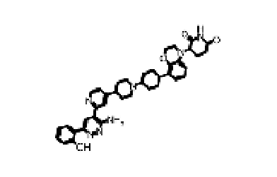 Nc1nnc(-c2ccccc2O)cc1-c1cc(C2CCN(C3CCC(c4cccc5c4OCCN5C4CCC(=O)NC4=O)CC3)CC2)ccn1